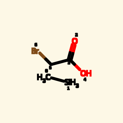 C[SiH3].O=C(O)CBr